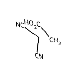 CC(=O)O.N#CCC#N